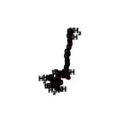 CC(C)(C)SC[C@H](NC(=O)[C@H](CC(=O)O)CC(=O)CNC(=O)[C@H](CCCNC(=N)N)CC(=O)[C@H](CSC(C)(C)C)NC(=O)[C@H](CCCCN)NC(=O)CCl)C(=O)C[C@@H](Cc1ccccc1)C(=O)N[C@@H](CS)C(=O)CCCOCCOCCOCCCC(=O)COCC(=O)CCCOCCOCCOCCNC(=O)COCC(N)=O